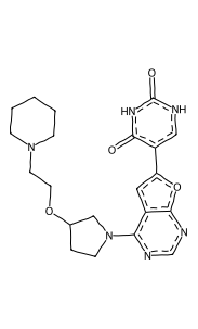 O=c1[nH]cc(-c2cc3c(N4CCC(OCCN5CCCCC5)C4)ncnc3o2)c(=O)[nH]1